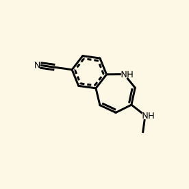 CNC1=CNc2ccc(C#N)cc2C=C1